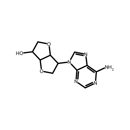 Nc1ncnc2c1ncn2C1COC2C(O)COC21